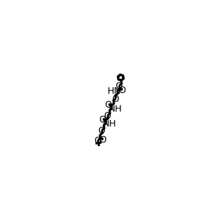 CC(C)(C)OC(=O)CCOCCNC(=O)COCCNC(=O)CCOCCNC(=O)OCc1ccccc1